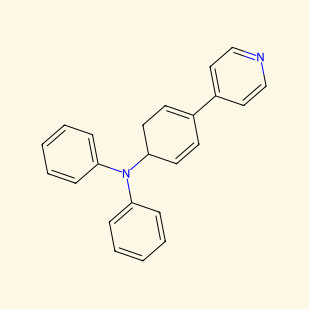 C1=CC(N(c2ccccc2)c2ccccc2)CC=C1c1ccncc1